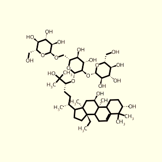 CC[C@@]12CCC([C@H](C)CC[C@@H](O[C@@H]3O[C@H](CO[C@H]4O[C@H](CO)[C@@H](O)[C@H](O)[C@H]4O)[C@@H](O)[C@H](O)[C@H]3O[C@@H]3O[C@H](CO)[C@@H](O)[C@H](O)[C@H]3O)C(C)(C)O)[C@@]1(C)C[C@@H](O)[C@@]1(C)C3CC[C@H](O)C(C)(C)C3=CCC12